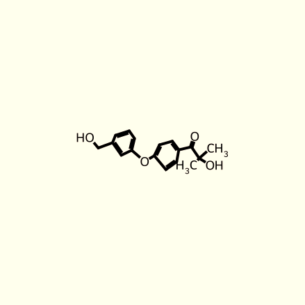 CC(C)(O)C(=O)c1ccc(Oc2cccc(CO)c2)cc1